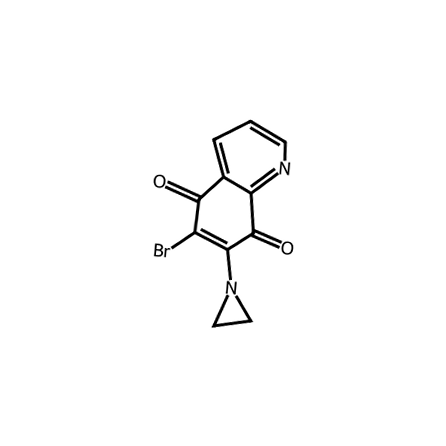 O=C1C(Br)=C(N2CC2)C(=O)c2ncccc21